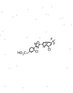 CC(F)(F)c1cc(Cl)c2nc(-c3nc(-c4ccc(CC(=O)O)cc4Cl)no3)cn2c1